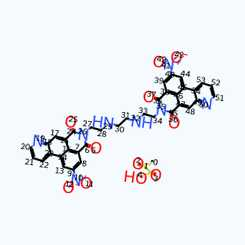 CS(=O)(=O)O.O=C1c2cc([N+](=O)[O-])cc3c2c(cc2ncccc23)C(=O)N1CCNCCNCCN1C(=O)c2cc([N+](=O)[O-])cc3c2c(cc2ncccc23)C1=O